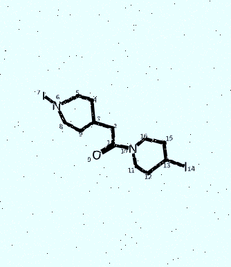 O=C(CC1CCN(I)CC1)N1CCC(I)CC1